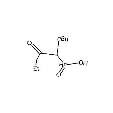 CCCCC(C(=O)CC)[PH](=O)O